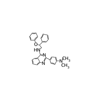 CN(C)c1ccc(-c2nc(NCC(Oc3ccccc3)c3ccccc3)c3ccccc3n2)cc1